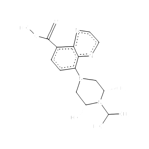 COC(=O)c1ccc(N2C[C@@H](C)N(C(C)C)[C@@H](C)C2)c2nccnc12